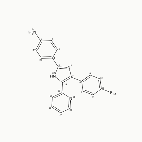 Nc1ccc(-c2nc(-c3ccc(F)cc3)c(-c3ccccn3)[nH]2)cc1